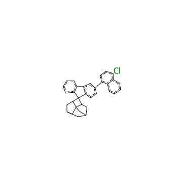 Clc1ccc(-c2ccc3c(c2)-c2ccccc2C32C3CC4CC5CC2C3(C4)C5)c2ccccc12